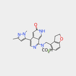 Cc1cc(-c2cnc(N(Cc3c(F)ccc4c3CCO4)C(=O)O)c3c[nH]c(=O)cc23)n(C)n1